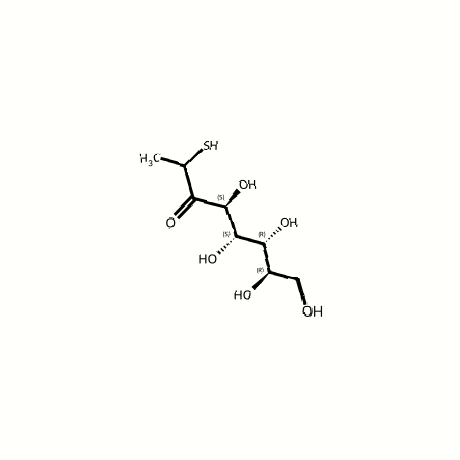 CC(S)C(=O)[C@@H](O)[C@@H](O)[C@H](O)[C@H](O)CO